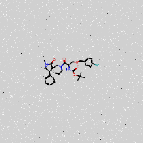 CN1CC(c2ccccc2)[C@@]2(CCCN(C(=O)C(COCc3ccc(F)cc3)NC(=O)OC(C)(C)C)C2)C1=O